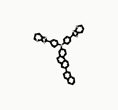 c1ccc2cc(-c3ccc4c(ccc5cc(N(c6ccc(-c7nc8cccnc8s7)cc6)c6ccc(-c7nc8cccnc8s7)cc6)ccc54)c3)ccc2c1